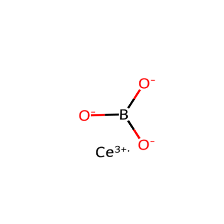 [Ce+3].[O-]B([O-])[O-]